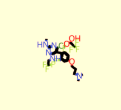 CNc1nc(Cl)c(-c2c(F)cc(OCCCN(C)C)cc2F)c(NCC(F)(F)F)n1.O=C(O)C(F)(F)F